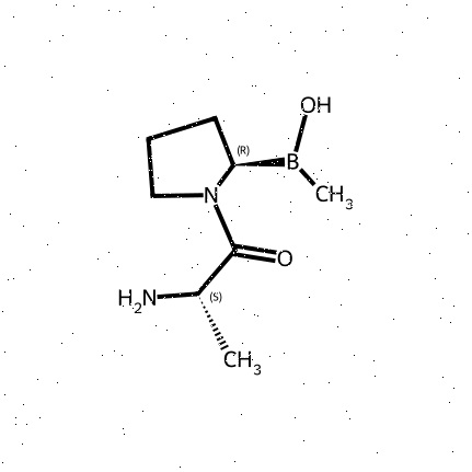 CB(O)[C@@H]1CCCN1C(=O)[C@H](C)N